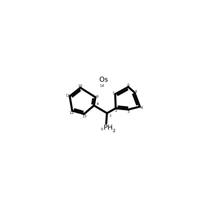 PC(c1ccccc1)c1ccccc1.[Os]